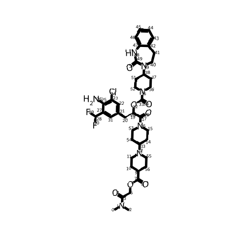 CN(C)C(=O)COC(=O)C1CCN(C2CCN(C(=O)[C@@H](Cc3cc(Cl)c(N)c(C(F)F)c3)OC(=O)N3CCC(N4CCc5ccccc5NC4=O)CC3)CC2)CC1